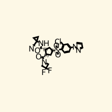 N#CC1(NC(=O)[C@@H]2C[C@@H](S(=O)(=O)c3ccc(-n4cccn4)cc3Cl)C[C@H]2C(=O)N2CC(F)(F)C2)CC1